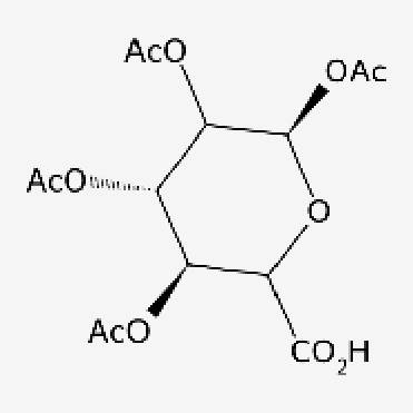 CC(=O)OC1[C@@H](OC(C)=O)OC(C(=O)O)[C@@H](OC(C)=O)[C@@H]1OC(C)=O